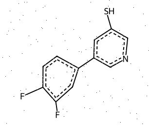 Fc1ccc(-c2cncc(S)c2)cc1F